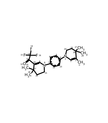 CC1=CN(c2ccc(N3C=C(C(=O)C(F)(F)F)C(C)(C)CC3)cc2)CCC1(C)C